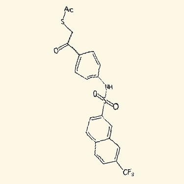 CC(=O)SCC(=O)c1ccc(NS(=O)(=O)c2ccc3ccc(C(F)(F)F)cc3c2)cc1